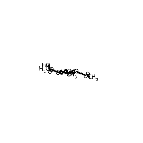 C=CC(=O)OCCCCCCOc1ccc(C(=O)Oc2ccc(-c3ccc(OCCCCOC(=O)C(=C)CO)cc3)cc2C)cc1